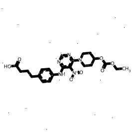 CCOC(=O)OC1CCN(c2ncnc(Nc3ccc(CCCC(=O)O)cc3)c2[N+](=O)[O-])CC1